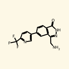 NCc1n[nH]c(=O)c2ccc(-c3ccc(C(F)(F)F)nc3)cc12